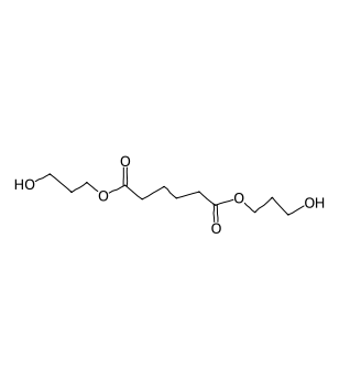 O=C(CCCCC(=O)OCCCO)OCCCO